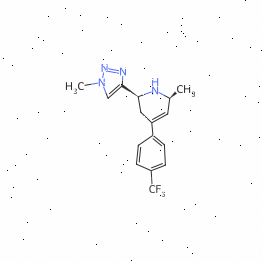 C[C@H]1C=C(c2ccc(C(F)(F)F)cc2)C[C@@H](c2cn(C)nn2)N1